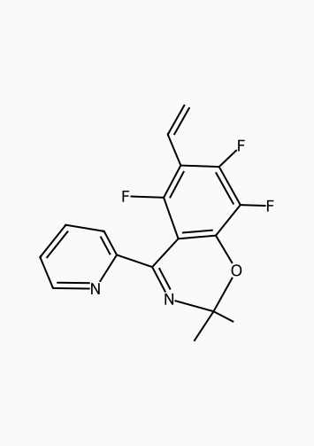 C=Cc1c(F)c(F)c2c(c1F)C(c1ccccn1)=NC(C)(C)O2